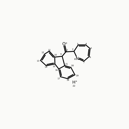 O=C(C1C=CC=CC=N1)C1c2ccccc2-c2ccccc21.[H+]